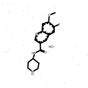 COc1cc2ncc(C(=O)NC3CCNCC3)cc2cc1F.Cl